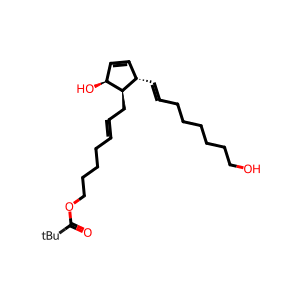 CC(C)(C)C(=O)OCCCCC=CC[C@@H]1[C@@H](C=CCCCCCCO)C=C[C@@H]1O